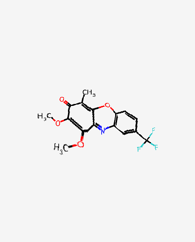 COc1c2nc3cc(C(F)(F)F)ccc3oc-2c(C)c(=O)c1OC